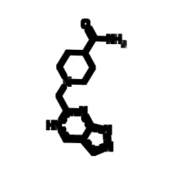 NC(=O)C1CCN(Cc2nc3nncc-3c[nH]2)CC1